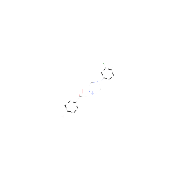 OC(CN1CCN(c2ccc(Cl)c(Cl)c2)CC1)c1ccc(Br)cc1